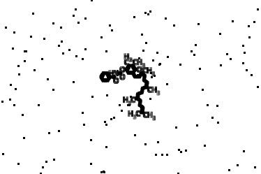 CC(C)=CCCC(C)=CCCC(C)=CCCC1(C)CCc2cc(OC(=O)NC(=O)c3ccccc3)c(C)c(C)c2O1